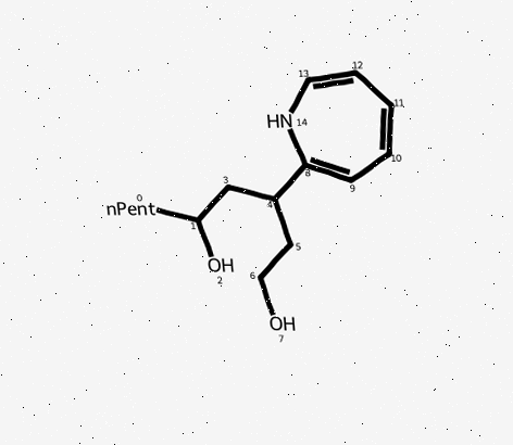 CCCCCC(O)CC(CCO)C1=CC=CC=CN1